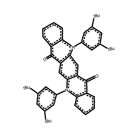 CC(C)(C)c1cc(-n2c3ccccc3c(=O)c3cc4c(cc32)c(=O)c2ccccc2n4-c2cc(C(C)(C)C)cc(C(C)(C)C)c2)cc(C(C)(C)C)c1